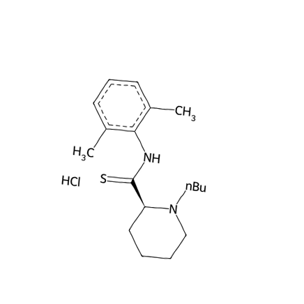 CCCCN1CCCC[C@H]1C(=S)Nc1c(C)cccc1C.Cl